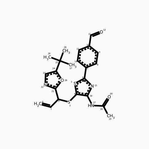 C=CC(Sc1sc(-c2ccc(C=O)cc2)nc1NC(C)=O)c1ncc(C(C)(C)C)o1